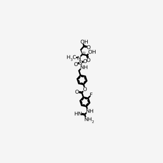 CN([C@@H](CC(=O)O)C(=O)O)S(=O)(=O)NCc1ccc(OC(=O)c2ccc(NC(=N)N)cc2F)cc1